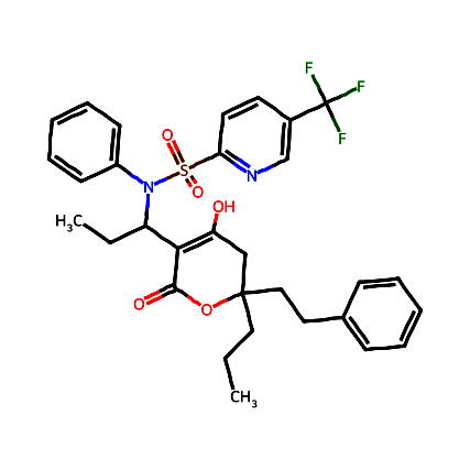 CCCC1(CCc2ccccc2)CC(O)=C(C(CC)N(c2ccccc2)S(=O)(=O)c2ccc(C(F)(F)F)cn2)C(=O)O1